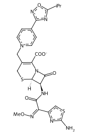 CO/N=C(\C(=O)N[C@@H]1C(=O)N2C(C(=O)[O-])=C(C[n+]3ccc(-c4noc(C(C)C)n4)cc3)CS[C@H]12)c1csc(N)n1